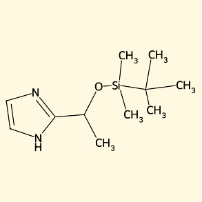 CC(O[Si](C)(C)C(C)(C)C)c1ncc[nH]1